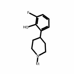 CCN1CCC(c2cccc(F)c2O)CC1